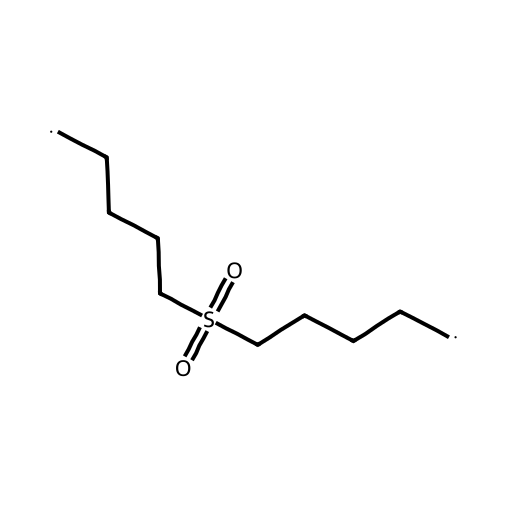 [CH2]CCCCS(=O)(=O)CCCC[CH2]